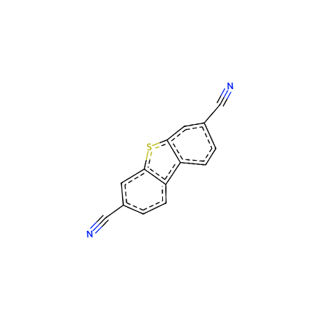 N#Cc1ccc2c(c1)sc1cc(C#N)ccc12